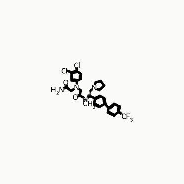 CN(C(=O)CN(CC(N)=O)c1ccc(Cl)c(Cl)c1)[C@@H](CN1CCCC1)c1ccc(-c2ccc(C(F)(F)F)cc2)cc1